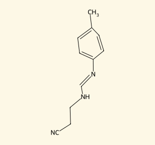 Cc1ccc(N=CNCCC#N)cc1